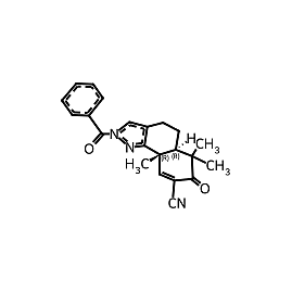 CC1(C)C(=O)C(C#N)=C[C@]2(C)c3nn(C(=O)c4ccccc4)cc3CC[C@@H]12